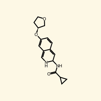 O=C(NC1C=c2ccc(O[C@H]3CCOC3)cc2=CN1)C1CC1